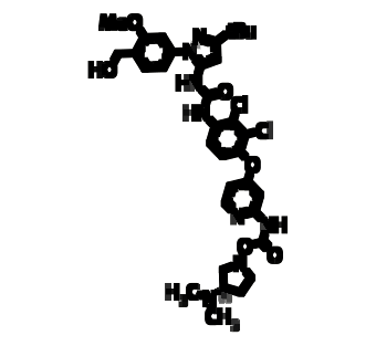 COc1cc(-n2nc(C(C)(C)C)cc2NC(=O)Nc2ccc(Oc3ccnc(NC(=O)ON4CC[C@H](N(C)C)C4)c3)c(Cl)c2Cl)ccc1CO